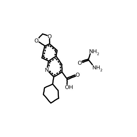 NC(N)=O.O=C(O)c1cc2cc3c(cc2nc1C1CCCCC1)OCO3